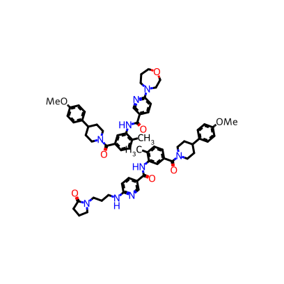 COc1ccc(C2CCN(C(=O)c3ccc(C)c(NC(=O)c4ccc(N5CCCOCC5)nc4)c3)CC2)cc1.COc1ccc(C2CCN(C(=O)c3ccc(C)c(NC(=O)c4ccc(NCCCN5CCCC5=O)nc4)c3)CC2)cc1